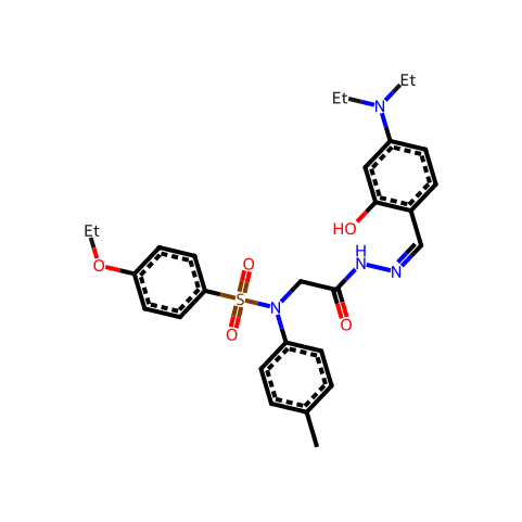 CCOc1ccc(S(=O)(=O)N(CC(=O)N/N=C\c2ccc(N(CC)CC)cc2O)c2ccc(C)cc2)cc1